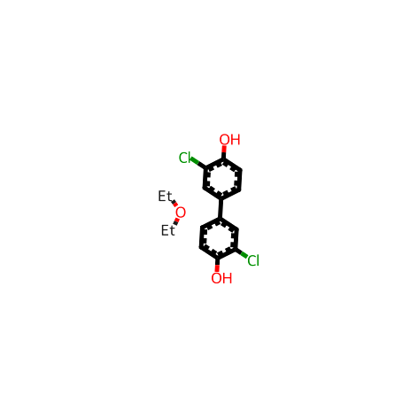 CCOCC.Oc1ccc(-c2ccc(O)c(Cl)c2)cc1Cl